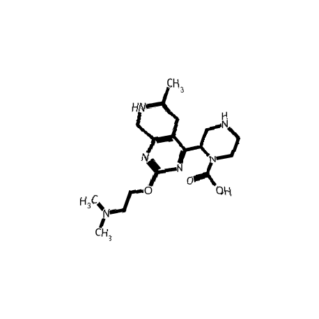 CC1Cc2c(nc(OCCN(C)C)nc2C2CNCCN2C(=O)O)CN1